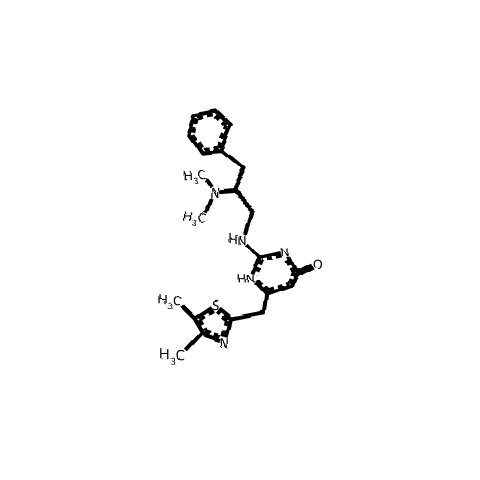 Cc1nc(Cc2cc(=O)nc(NCC(Cc3ccccc3)N(C)C)[nH]2)sc1C